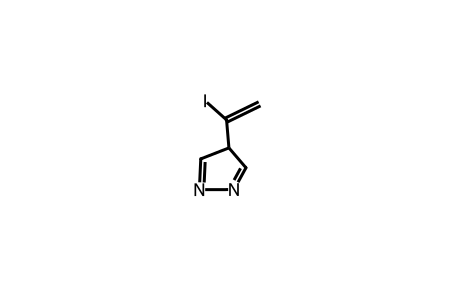 C=C(I)C1C=NN=C1